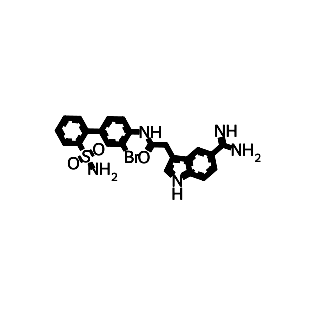 N=C(N)c1ccc2[nH]cc(CC(=O)Nc3ccc(-c4ccccc4S(N)(=O)=O)cc3Br)c2c1